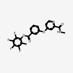 CNC(=O)c1cc(Oc2cccc(C(=O)Oc3c(F)c(F)c(F)c(F)c3F)c2)ccn1